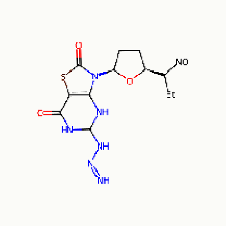 CCC(N=O)[C@@H]1CC[C@H](n2c3c(sc2=O)C(=O)NC(NN=N)N3)O1